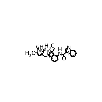 CCc1nn(Cc2cc(C)n(C)n2)c2cccc(NC(=O)c3cnc4ccccn34)c12